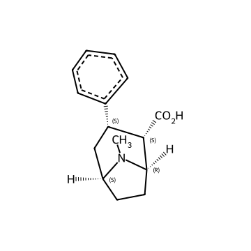 CN1[C@H]2CC[C@@H]1[C@@H](C(=O)O)[C@@H](c1ccccc1)C2